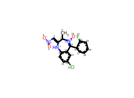 CC1/C(=C/[N+](=O)[O-])Nc2ccc(Cl)cc2C(c2ccccc2F)=[N+]1[O-]